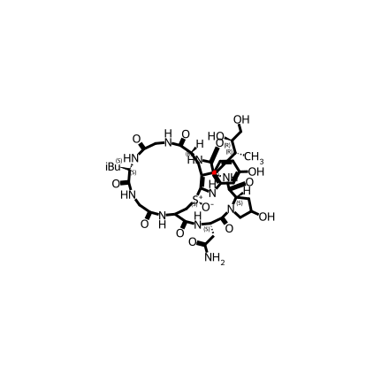 CC[C@H](C)[C@@H]1NC(=O)CNC(=O)[C@H]2Cc3c([nH]c4cc(O)ccc34)[S@+]([O-])CC(NC(=O)CNC1=O)C(=O)N[C@@H](CC(N)=O)C(=O)N1CC(O)C[C@H]1C(=O)N[C@@H]([C@@H](C)[C@@H](O)CO)C(=O)N2